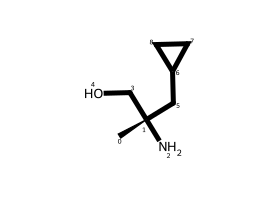 C[C@@](N)(CO)CC1CC1